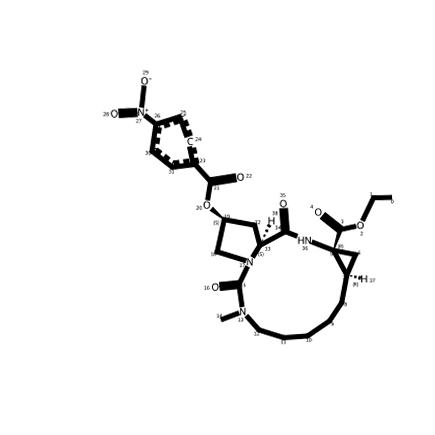 CCOC(=O)[C@@]12C[C@H]1CCCCCN(C)C(=O)N1C[C@@H](OC(=O)c3ccc([N+](=O)[O-])cc3)C[C@H]1C(=O)N2